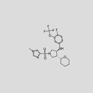 Cn1cnc(S(=O)(=O)N2C[C@@H](Nc3ccc(F)c(OC(F)(F)F)c3)[C@H](C3CCCCO3)C2)c1